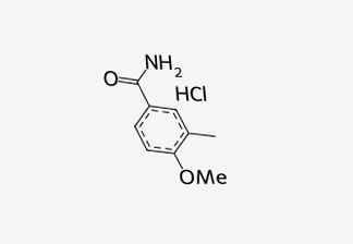 COc1ccc(C(N)=O)cc1C.Cl